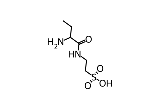 CCC(N)C(=O)NCCS(=O)(=O)O